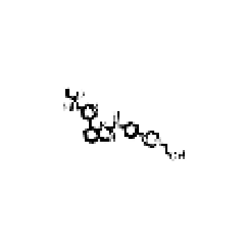 C=CC(=O)Nc1cncc(-c2cccc3cnc(Nc4ccc(N5CCN(CCO)CC5)cc4)nc23)c1